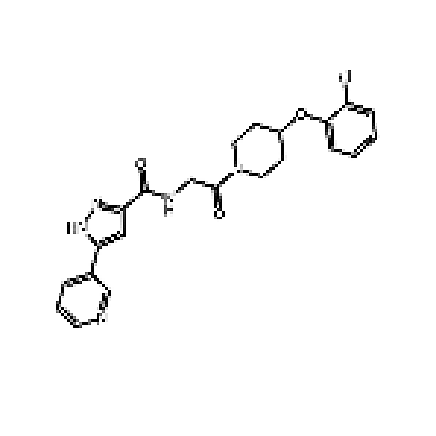 O=C(NCC(=O)N1CCC(Oc2ccccc2Cl)CC1)c1cc(-c2cccnc2)[nH]n1